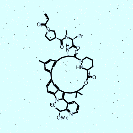 C=CC(=O)N1CC[C@H](C(=O)N(C)[C@H](C(=O)N[C@H]2Cc3cc(C)cc(c3)-c3ccc4c(c3)c(c(-c3cccnc3[C@H](C)OC)n4CC)CC(C)(C)COC(=O)[C@@H]3CCCN(N3)C2=O)C(C)C)C1